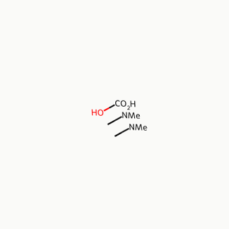 CNC.CNC.O=C(O)O